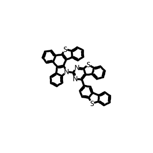 c1ccc2c(c1)sc1ccc(-c3nc(-n4c5ccccc5c5c6ccccc6c6sc7ccccc7c6c54)nc4sc5ccccc5c34)cc12